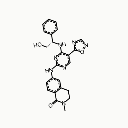 CN1CCc2cc(Nc3ncc(-c4ncno4)c(N[C@H](CO)c4ccccc4)n3)ccc2C1=O